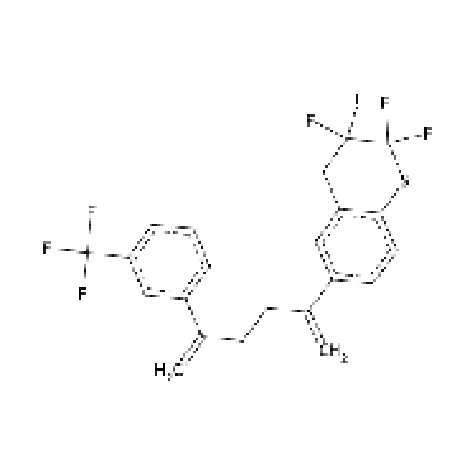 C=C(CCC(=C)c1ccc2c(c1)CC(F)(F)C(F)(F)S2)c1cccc(C(F)(F)F)c1